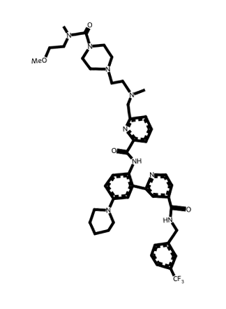 COCCN(C)C(=O)N1CCN(CCN(C)Cc2cccc(C(=O)Nc3ccc(N4CCCCC4)cc3-c3cc(C(=O)NCc4cccc(C(F)(F)F)c4)ccn3)n2)CC1